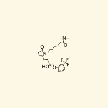 CNC(=O)CCCC=CC[C@H]1C(=O)CC=C1C=C[C@@H](O)COc1cccc(C(F)(F)F)c1